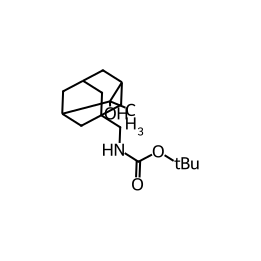 CC(C)(C)OC(=O)NCC12CC3CC(C1)C(C)(O)C(C3)C2